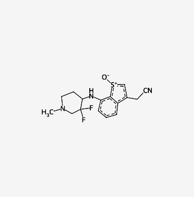 CN1CCC(Nc2cccc3c(CC#N)c[s+]([O-])c23)C(F)(F)C1